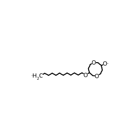 [CH2]CCCCCCCCCCCOC1CCOCC([O])CCOC1